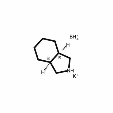 C1CC[C@H]2CNC[C@H]2C1.[BH4-].[K+]